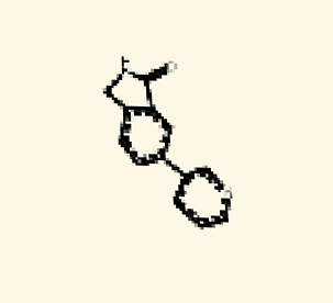 O=C1NCc2ccc(-c3cccnc3)cc21